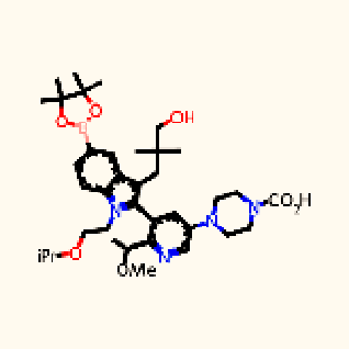 COC(C)c1ncc(N2CCN(C(=O)O)CC2)cc1-c1c(CC(C)(C)CO)c2cc(B3OC(C)(C)C(C)(C)O3)ccc2n1CCOC(C)C